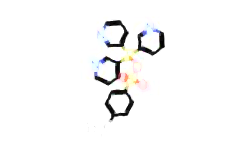 Cc1ccc(S(=O)(=O)OS(c2cccnc2)(c2cccnc2)c2cccnc2)cc1